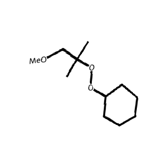 COCC(C)(C)OOC1CCCCC1